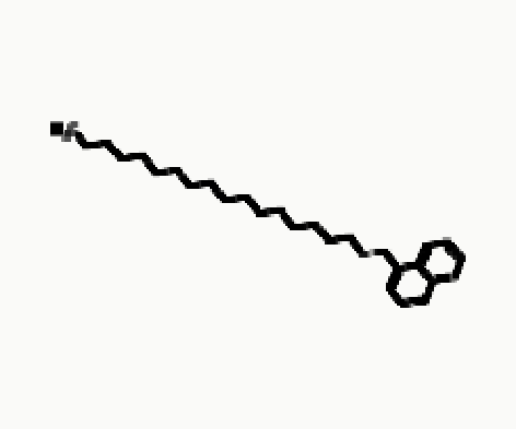 CCCCCCCCCCCCCCCCCC[CH]c1cccc2ccccc12